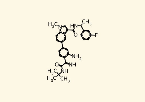 C[C@H](NC(=O)c1cn(C)c2ccc(-c3ccc(C(=N)C(=O)NC(C)(C)C)c(N)c3)cc12)c1cccc(F)c1